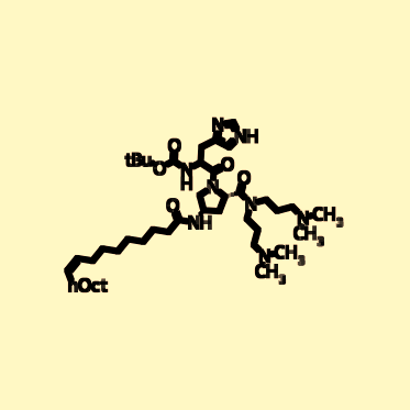 CCCCCCCC/C=C\CCCCCCCC(=O)N[C@H]1C[C@@H](C(=O)N(CCCN(C)C)CCCN(C)C)N(C(=O)C(Cc2c[nH]cn2)NC(=O)OC(C)(C)C)C1